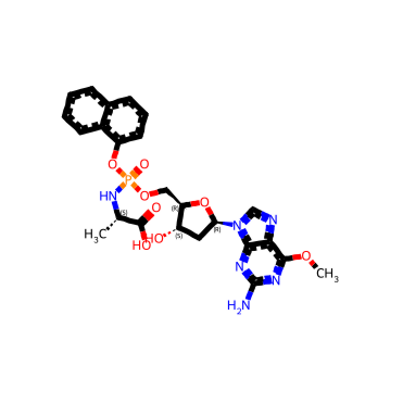 COc1nc(N)nc2c1ncn2[C@H]1C[C@H](O)[C@@H](COP(=O)(N[C@@H](C)C(=O)O)Oc2cccc3ccccc23)O1